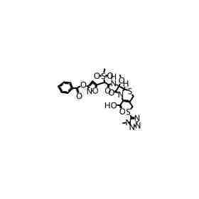 CO[C@@]1(NC(=O)C(c2cc(OC(=O)c3ccccc3)no2)S(C)(=O)=O)C(=O)N2C(C(=O)O)=C(CSc3nnnn3C)CS[C@H]21